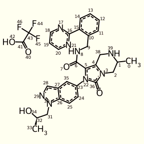 CC1Cn2c(c(C(=O)NCc3ccccc3-c3ncccn3)n(-c3ccc4c(cnn4C[C@@H](C)O)c3)c2=O)CN1.O=C(O)C(F)(F)F